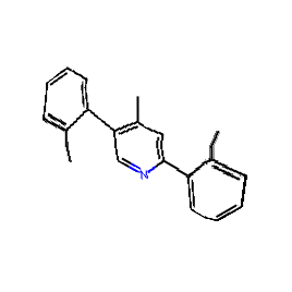 Cc1ccccc1-c1cc(C)c(-c2ccccc2C)cn1